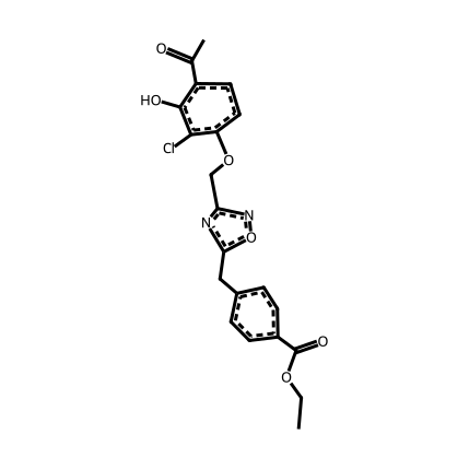 CCOC(=O)c1ccc(Cc2nc(COc3ccc(C(C)=O)c(O)c3Cl)no2)cc1